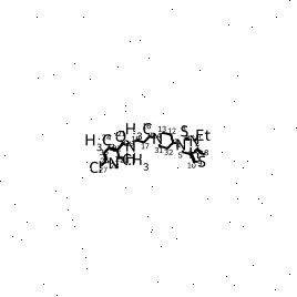 CCNC(=S)N(Cc1ccsc1)C1CCN([C@H](C)CCNC(=O)c2c(C)cc(Cl)nc2C)CC1